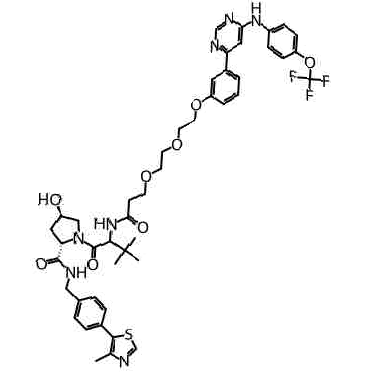 Cc1ncsc1-c1ccc(CNC(=O)[C@@H]2C[C@@H](O)CN2C(=O)C(NC(=O)CCOCCOCCOc2cccc(-c3cc(Nc4ccc(OC(F)(F)F)cc4)ncn3)c2)C(C)(C)C)cc1